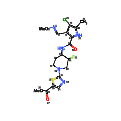 CON=Cc1c(C(=O)N[C@@H]2CCN(c3ncc(C(=O)OC)s3)C[C@@H]2F)[nH]c(C)c1Cl